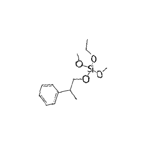 CCO[Si](OC)(OC)OCC(C)c1ccccc1